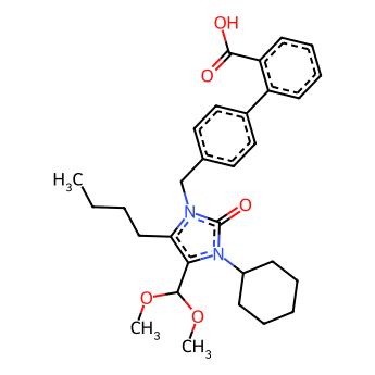 CCCCc1c(C(OC)OC)n(C2CCCCC2)c(=O)n1Cc1ccc(-c2ccccc2C(=O)O)cc1